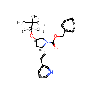 CC(C)(C)[Si](C)(C)O[C@@H]1C[C@@H](C=Cc2cccnc2)N(C(=O)OCc2ccccc2)C1